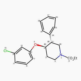 CCOC(=O)N1CC[C@@H](Oc2cccc(Cl)c2)[C@H](c2ccccc2)C1